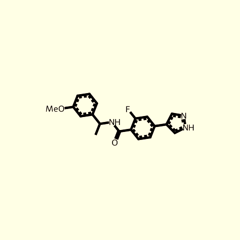 COc1cccc(C(C)NC(=O)c2ccc(-c3cn[nH]c3)cc2F)c1